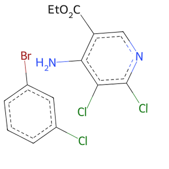 CCOC(=O)c1cnc(Cl)c(Cl)c1N.Clc1cccc(Br)c1